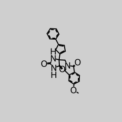 COc1ccc2c(c1)CN(CC1(C3=CC=C(c4ccccc4)C3)NC(=O)NC1=O)C2=O